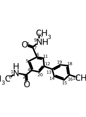 CNC(=O)c1cc(C(=O)NC)cc(-c2ccc(C)cc2)c1